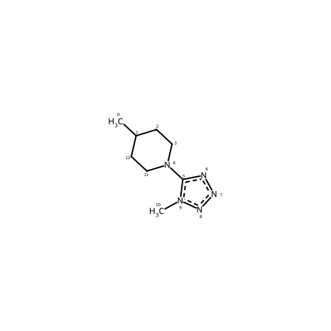 CC1CCN(c2nnnn2C)CC1